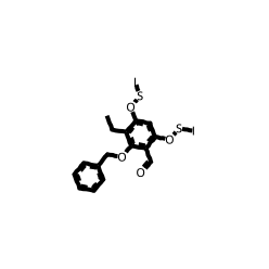 CCc1c(OSI)cc(OSI)c(C=O)c1OCc1ccccc1